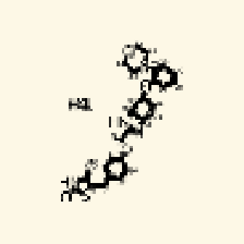 CC(Oc1ccc(CC2SC(=O)NC2=O)cc1)c1nc2ccc(Oc3ccccc3N3CCOCC3)cc2[nH]1.Cl.Cl